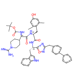 Cc1cc(O)cc(C)c1C[C@H](NC(=O)[C@H](NC(=O)OC(C)(C)C)C1CCN(C(=N)N)CC1)C(=O)N[C@@H](Cc1c[nH]c2ccccc12)c1nc(Cc2ccc(-c3ccccc3)cc2)no1